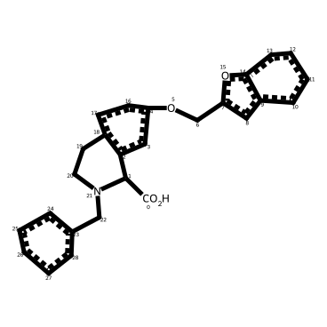 O=C(O)C1c2cc(OCc3cc4ccccc4o3)ccc2CCN1Cc1ccccc1